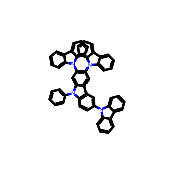 c1ccc(-n2c3ccc(-n4c5ccccc5c5ccccc54)cc3c3cc(-n4c5ccccc5c5ccccc54)c(-n4c5ccccc5c5ccccc54)cc32)cc1